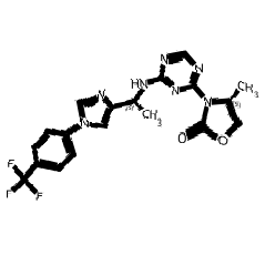 C[C@H](Nc1ncnc(N2C(=O)OC[C@@H]2C)n1)c1cn(-c2ccc(C(F)(F)F)cc2)cn1